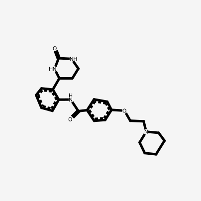 O=C1NCCC(c2ccccc2NC(=O)c2ccc(OCCN3CCCCC3)cc2)N1